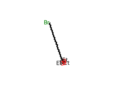 CCO[Si](CCCCCCCCCCCCCCCCCCCCCCCCCCCCCCCCBr)(OCC)OCC